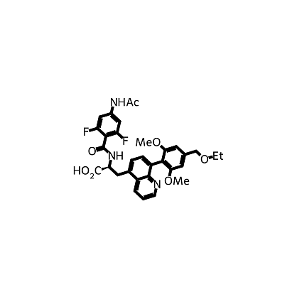 CCOCc1cc(OC)c(-c2ccc(C[C@H](NC(=O)c3c(F)cc(NC(C)=O)cc3F)C(=O)O)c3cccnc23)c(OC)c1